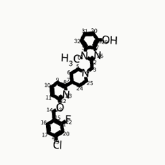 Cn1c(CN2CCC(c3cccc(OCc4ccc(Cl)cc4F)n3)CC2)nc2c(O)cccc21